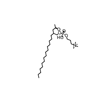 CCCCCCCCCCCCCCCCC(COP(=O)(O)OCCC[N+](C)(C)C)CC(C)=O